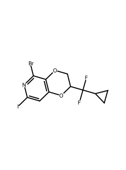 FC(F)(C1CC1)C1COc2c(cc(I)nc2Br)O1